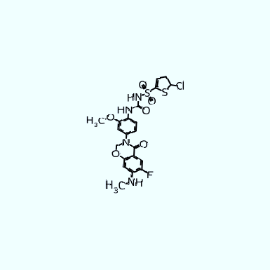 CNc1cc2c(cc1F)C(=O)N(c1ccc(NC(=O)NS(=O)(=O)C3=CCC(Cl)S3)c(OC)c1)CO2